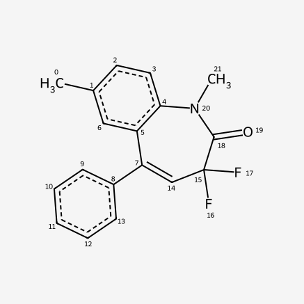 Cc1ccc2c(c1)C(c1ccccc1)=CC(F)(F)C(=O)N2C